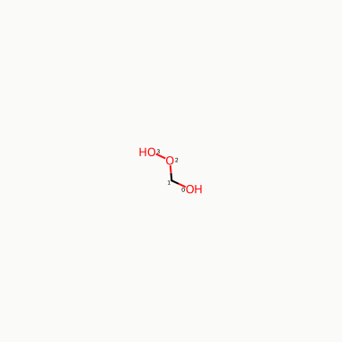 OCOO